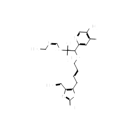 C=Cc1nc(C)sc1C/C=C/COC(c1cc(C)c(P)cn1)C(C)(C)O/C=N\CC